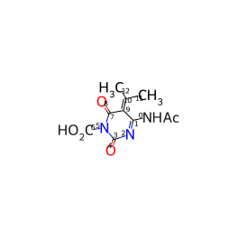 CC(=O)NC1=NC(=O)N(C(=O)O)C(=O)C1=C(C)C